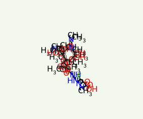 CC[C@H]1OC(=O)[C@H](C)[C@@H](O[C@H]2C[C@@](C)(OC)[C@@H](OS(=O)(=O)CCNCCNc3nc4c(cc3F)c(=O)c(C(=O)O)cn4CC)[C@H](C)O2)[C@H](C)[C@@H](O[C@@H]2O[C@H](C)C[C@H](N(C)C)[C@H]2O)[C@](C)(O)C[C@H](C)/C(=N\OCCN(CC)CC)[C@@H](C)[C@H](O)[C@@]1(C)O